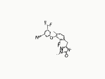 [CH2]n1nc(Cc2ccc(C)c(Oc3cc(C#N)cc(C(F)F)c3)c2F)n(C)c1=O